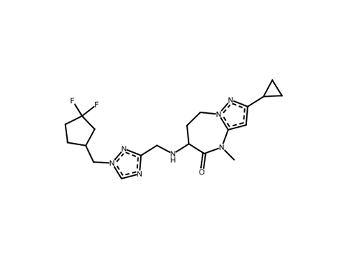 CN1C(=O)C(NCc2ncn(CC3CCC(F)(F)C3)n2)CCn2nc(C3CC3)cc21